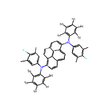 [2H]c1c([2H])c([2H])c(N(c2cc(C)c(F)c(C)c2)c2ccc3ccc4c(N(c5cc(C)c(F)c(C)c5)c5c([2H])c([2H])c([2H])c([2H])c5[2H])ccc5ccc2c3c54)c([2H])c1[2H]